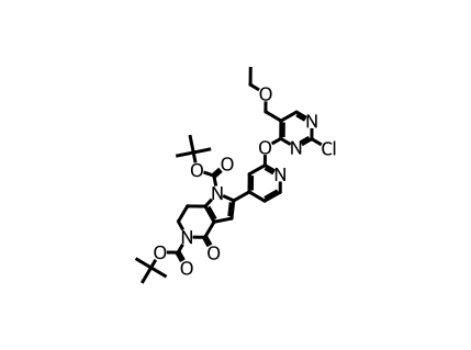 CCOCc1cnc(Cl)nc1Oc1cc(-c2cc3c(n2C(=O)OC(C)(C)C)CCN(C(=O)OC(C)(C)C)C3=O)ccn1